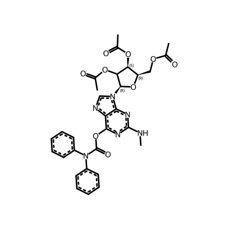 CNc1nc(OC(=O)N(c2ccccc2)c2ccccc2)c2ncn([C@@H]3O[C@H](COC(C)=O)[C@H](OC(C)=O)C3OC(C)=O)c2n1